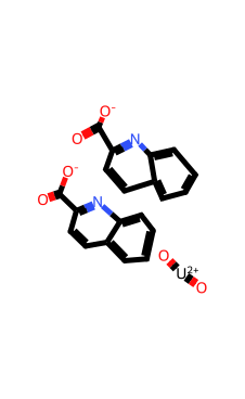 O=C([O-])c1ccc2ccccc2n1.O=C([O-])c1ccc2ccccc2n1.[O]=[U+2]=[O]